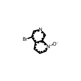 [O-][n+]1cccc2c(Br)cncc21